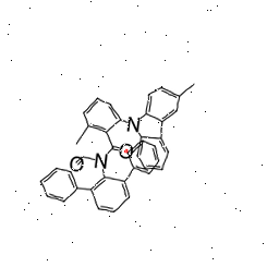 Cc1ccc2c(c1)c1ccccc1n2-c1cccc(C)c1C(=O)N(C=O)c1c(-c2ccccc2)cccc1-c1ccccc1